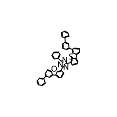 c1ccc(-c2cccc(-c3cccc4c3sc3c(-c5nc(-c6ccccc6)nc(-c6cccc7c6oc6ccc(-c8ccccc8)cc67)n5)cccc34)c2)cc1